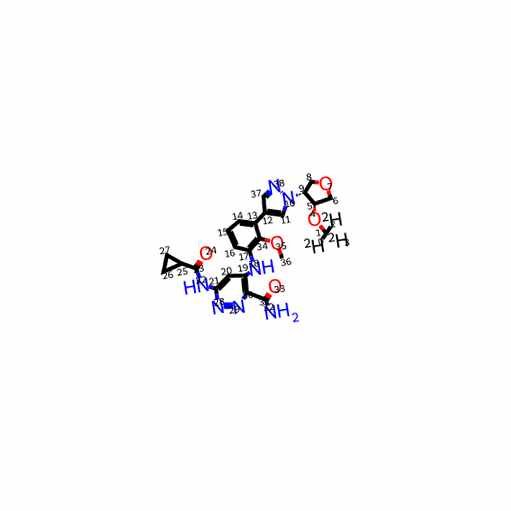 [2H]C([2H])([2H])O[C@@H]1COC[C@H]1n1cc(-c2cccc(Nc3cc(NC(=O)C4CC4)nnc3C(N)=O)c2OC)cn1